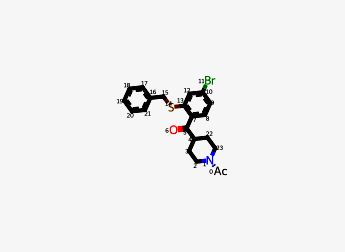 CC(=O)N1CCC(C(=O)c2ccc(Br)cc2SCc2ccccc2)CC1